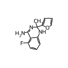 CC1(c2ccco2)N=C(N)c2c(F)cccc2N1